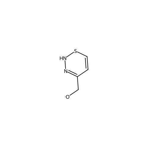 [O]CC1=NNSC=C1